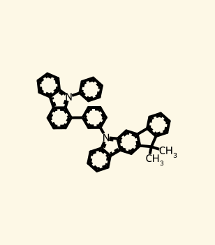 CC1(C)c2ccccc2-c2cc3c(cc21)c1ccccc1n3-c1cccc(-c2cccc3c4ccccc4n(-c4ccccc4)c23)c1